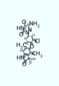 Cc1cc(-n2nc(N)c(=O)[nH]c2=O)cc(Cl)c1Oc1ccc2c(c1C)C1(CC1)C(=O)N2